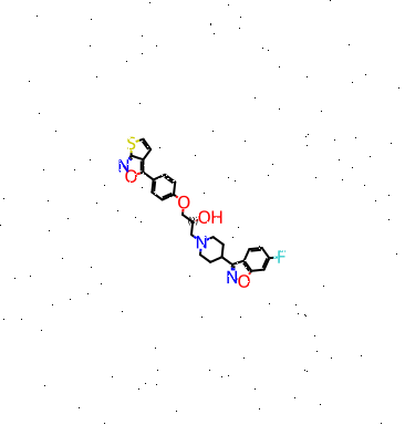 O[C@@H](COc1ccc(-c2onc3sccc23)cc1)CN1CCC(c2noc3cc(F)ccc23)CC1